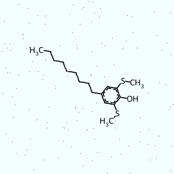 CCCCCCCCCc1cc(SC)c(O)c(SC)c1